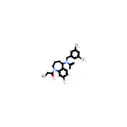 C=C(C)N(Cc1cc(C(F)(F)F)cc(C(F)(F)F)c1)C1CCCN(C(=O)CC(C)(C)C)c2cc(Cl)ccc21